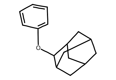 c1ccc(OC2C3CC4CC(C3)CC2C4)cc1